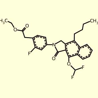 CCCCc1c2c(c(OC(F)F)c3ccccc13)C(=O)N(c1ccc(CC(=O)OCC)c(F)c1)C2